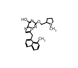 Cc1cccc2cccc(Cc3cnc4c(O)nc(OCC5CCCN5C)nn34)c12